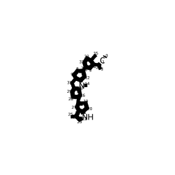 C=C=C(C)c1cc(-c2ccc3c(c2)N(C)c2cc(-c4ccc5[nH]cc(C)c5c4)ccc2C3)ccc1C